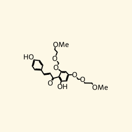 COCCOCOc1cc(O)c(C(=O)C=Cc2ccc(O)cc2)c(OCOCCOC)c1